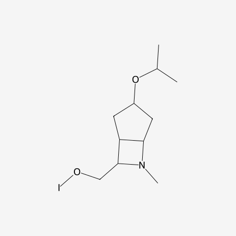 CC(C)OC1CC2C(COI)N(C)C2C1